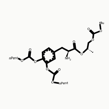 CCCCCOC(=O)Oc1ccc(C[C@H](N)C(=O)O[C@@H](C)COC(=O)OC(C)(C)C)cc1OC(=O)OCCCCC